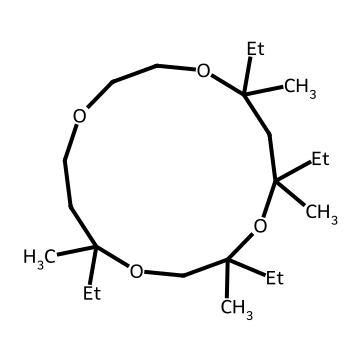 CCC1(C)CCOCCOC(C)(CC)CC(C)(CC)OC(C)(CC)CO1